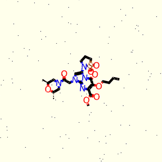 CCCCOc1c(C(=O)OC)nc2n(CC(=O)N3C[C@H](C)O[C@@H](C)C3)cc(N3CCCS3(=O)=O)n2c1=O